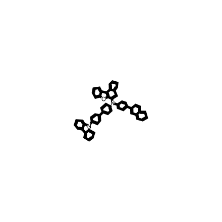 c1ccc2cc(-c3ccc(N(c4ccc(-c5ccc(-n6c7ccccc7c7ccccc76)cc5)cc4)c4cc5ccccc5c5c4oc4ccccc45)cc3)ccc2c1